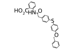 O=C(Cc1ccc(Sc2ccc(OCc3ccccc3)cc2)cc1)Nc1ccccc1C(=O)O